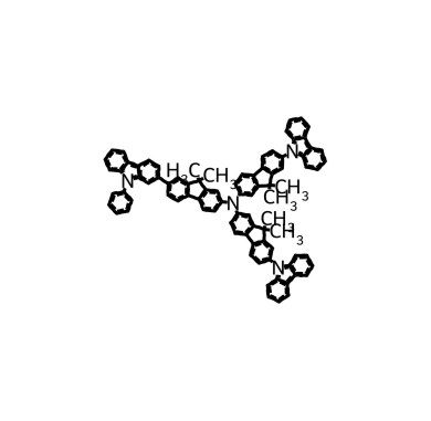 CC1(C)c2cc(-c3ccc4c5ccccc5n(-c5ccccc5)c4c3)ccc2-c2ccc(N(c3ccc4c(c3)C(C)(C)c3cc(-n5c6ccccc6c6ccccc65)ccc3-4)c3ccc4c(c3)C(C)(C)c3cc(-n5c6ccccc6c6ccccc65)ccc3-4)cc21